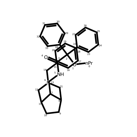 CCCOC(C(=O)NCC1C2CCC1CN(Cc1ccccc1)C2)(c1ccccc1)c1ccccc1